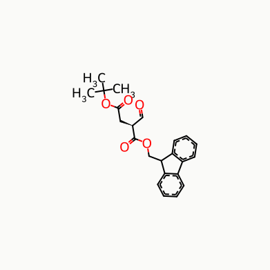 CC(C)(C)OC(=O)C[C@@H](C=O)C(=O)OCC1c2ccccc2-c2ccccc21